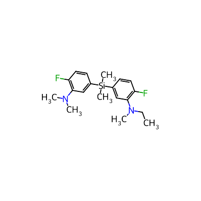 CCN(C)c1cc([Si](C)(C)c2ccc(F)c(N(C)C)c2)ccc1F